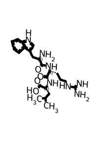 CC(C)C[C@H](NC(=O)[C@@H](CCCNC(=N)N)NC(=O)[C@H](N)Cc1c[nH]c2ccccc12)C(=O)O